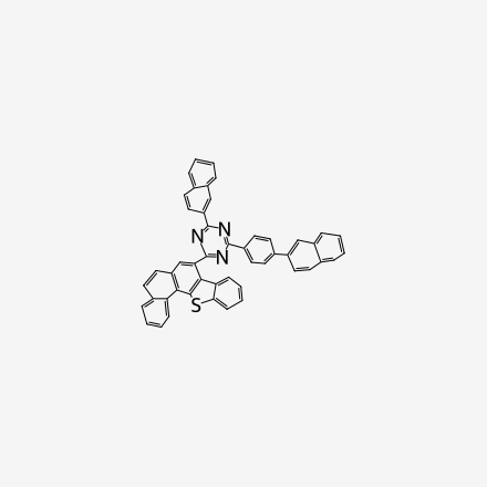 c1ccc2cc(-c3ccc(-c4nc(-c5ccc6ccccc6c5)nc(-c5cc6ccc7ccccc7c6c6sc7ccccc7c56)n4)cc3)ccc2c1